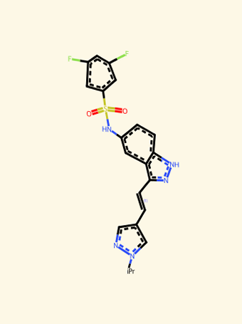 CC(C)n1cc(/C=C/c2n[nH]c3ccc(NS(=O)(=O)c4cc(F)cc(F)c4)cc23)cn1